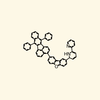 C1=CC(c2ccc3oc4ccc(-c5ccc6c7c(cccc57)-c5c-6c(-c6ccccc6)c6ccccc6c5-c5ccccc5)cc4c3c2)NC(c2ccccn2)=C1